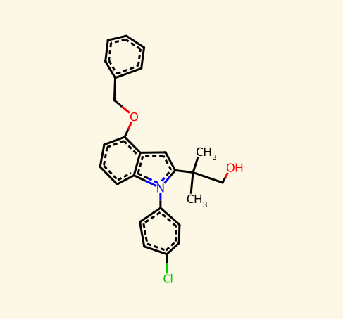 CC(C)(CO)c1cc2c(OCc3ccccc3)cccc2n1-c1ccc(Cl)cc1